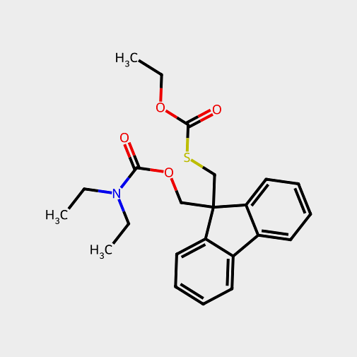 CCOC(=O)SCC1(COC(=O)N(CC)CC)c2ccccc2-c2ccccc21